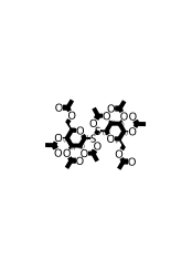 CC(=O)OC[C@H]1O[C@@H](SS[C@@H]2O[C@H](COC(C)=O)[C@@H](OC(C)=O)[C@H](OC(C)=O)[C@H]2OC(C)=O)[C@H](OC(C)=O)[C@@H](OC(C)=O)[C@@H]1OC(C)=O